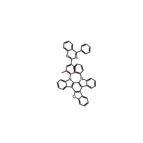 Cc1cc(-c2nc(-c3ccccc3)c3ccccc3n2)ccc1-n1c2ccccc2c2c3oc4ccccc4c3c3c4ccccc4n(-c4ccccc4)c3c21